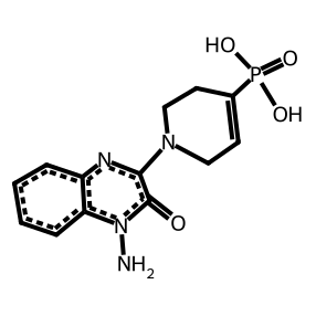 Nn1c(=O)c(N2CC=C(P(=O)(O)O)CC2)nc2ccccc21